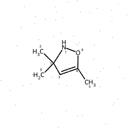 [CH2]C1(C)C=C(C)ON1